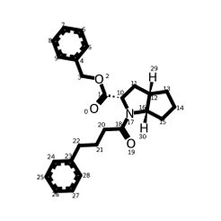 O=C(OCc1ccccc1)[C@@H]1C[C@@H]2CCC[C@@H]2N1C(=O)CCCc1ccccc1